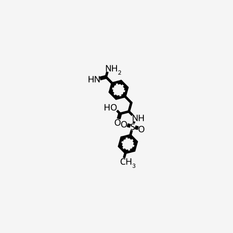 Cc1ccc(S(=O)(=O)NC(Cc2ccc(C(=N)N)cc2)C(=O)O)cc1